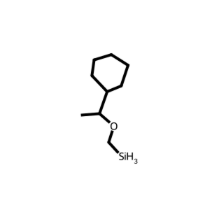 CC(OC[SiH3])C1CCCCC1